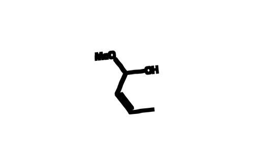 C/C=C\C(O)OC